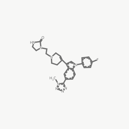 Cn1nnnc1-c1ccc2c(c1)c(C1=CCN(CCN3CCNC3=O)CC1)cn2-c1ccc(F)cc1